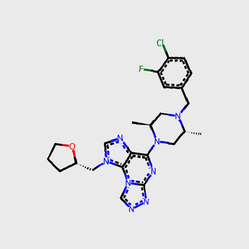 C[C@@H]1CN(c2nc3nncn3c3c2ncn3C[C@@H]2CCCO2)[C@@H](C)CN1Cc1ccc(Cl)c(F)c1